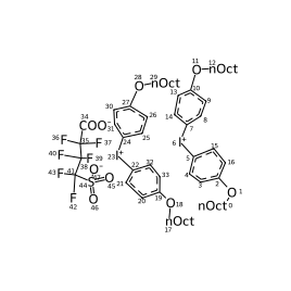 CCCCCCCCOc1ccc([I+]c2ccc(OCCCCCCCC)cc2)cc1.CCCCCCCCOc1ccc([I+]c2ccc(OCCCCCCCC)cc2)cc1.O=C([O-])C(F)(F)C(F)(F)C(F)(F)S(=O)(=O)[O-]